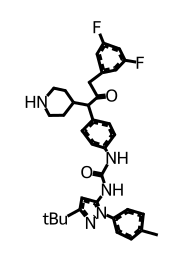 Cc1ccc(-n2nc(C(C)(C)C)cc2NC(=O)Nc2ccc(C(C(=O)Cc3cc(F)cc(F)c3)C3CCNCC3)cc2)cc1